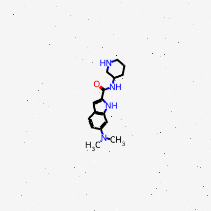 CN(C)c1ccc2cc(C(=O)NC3CCCNC3)[nH]c2c1